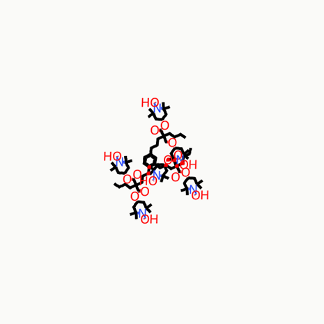 CCCCC(CCCc1ccc(CCCC(CCCC)(C(=O)OC2CC(C)(C)N(O)C(C)(C)C2)C(=O)OC2CC(C)(C)N(O)C(C)(C)C2)c(CCCC(CCCC)(C(=O)OC2CC(C)(C)N(O)C(C)(C)C2)C(=O)OC2CC(C)(C)N(O)C(C)(C)C2)c1)(COC1CC(C)(C)N(O)C(C)(C)C1)C(=O)OC1CC(C)(C)N(O)C(C)(C)C1